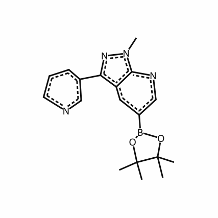 Cn1nc(-c2cccnc2)c2cc(B3OC(C)(C)C(C)(C)O3)cnc21